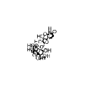 O=c1ccn([C@@H]2O[C@H](CO[C@H]3O[C@@](CO)(P(=O)(O)OP(=O)(O)O)[C@@H](O)[C@H](O)[C@H]3O)[C@@H](O)[C@H]2O)c(=O)[nH]1